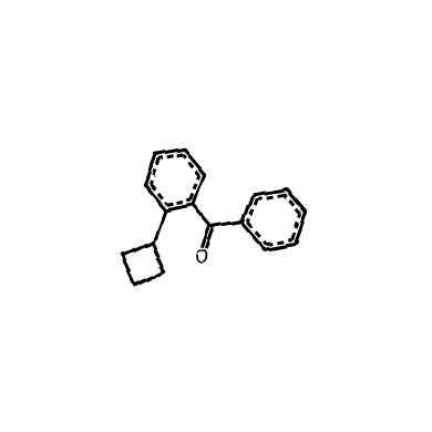 O=C(c1ccccc1)c1ccccc1C1CCC1